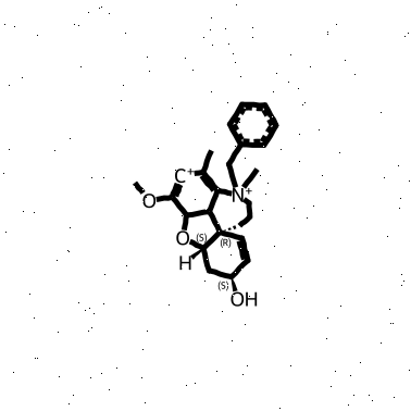 COC1=[C+]C(C)=C2C3C1O[C@H]1C[C@H](O)C=C[C@]31CCC[N+]2(C)Cc1ccccc1